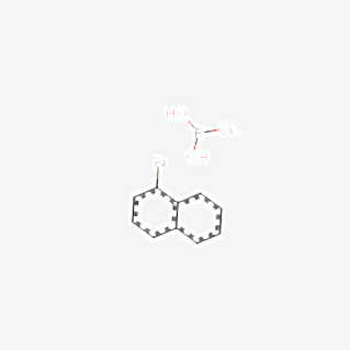 Brc1cccc2ccccc12.OB(O)O